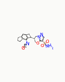 NS(=O)(=O)c1cnn2c1OCC(C1Cc3cc4c(c(N=C=O)c31)CCC4)C2